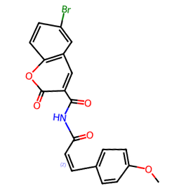 COc1ccc(/C=C\C(=O)NC(=O)c2cc3cc(Br)ccc3oc2=O)cc1